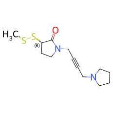 CSS[C@@H]1CCN(CC#CCN2CCCC2)C1=O